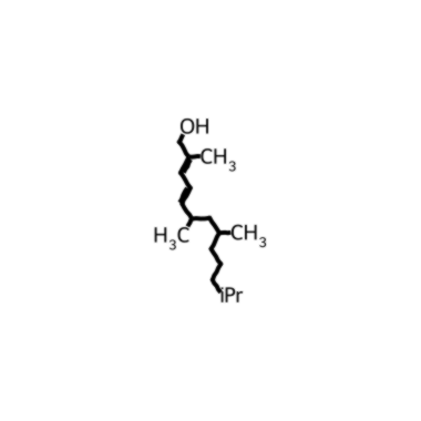 C/C(=C\C=C\C(C)CC(C)CCCC(C)C)CO